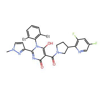 CCc1cccc(CC)c1-n1c(-c2ccn(C)n2)nc(=O)c(C(=O)N2CCC(c3ncc(F)cc3F)C2)c1O